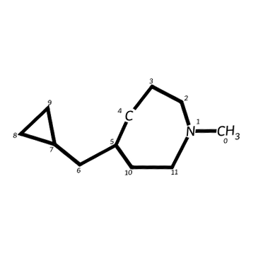 CN1CCCC(CC2CC2)CC1